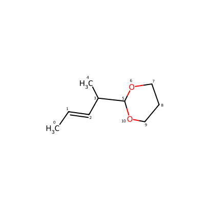 CC=CC(C)C1OCCCO1